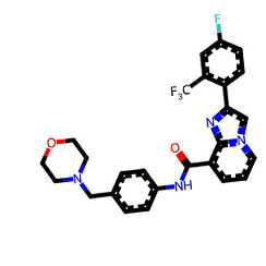 O=C(Nc1ccc(CN2CCOCC2)cc1)c1cccn2cc(-c3ccc(F)cc3C(F)(F)F)nc12